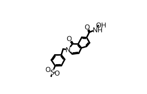 CS(=O)(=O)c1ccc(Cn2ccc3ccc(C(=O)NO)cc3c2=O)cc1